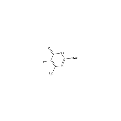 CSc1nc(C(F)(F)F)c(I)c(=O)[nH]1